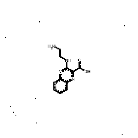 NCCNc1nc2ccccc2nc1C(=O)O